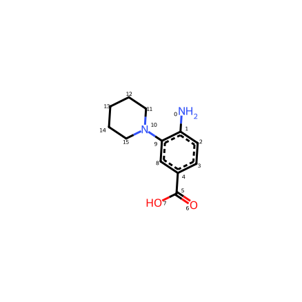 Nc1ccc(C(=O)O)cc1N1CCCCC1